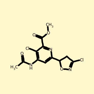 COC(=O)c1nc(C2CC(Cl)=NO2)cc(NC(C)=O)c1Cl